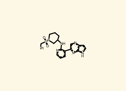 CC(C)CS(=O)(=O)N1CCCC(Nc2ncccc2-c2cnc3cc[nH]c3n2)C1